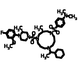 COc1cc(F)ccc1N1CCN(S(=O)(=O)N2CCCN(C(C)C3CCCCC3)CCCN(S(=O)(=O)c3ccc(N(C)C)cc3)C[C@H](C)C2)C[C@H]1C